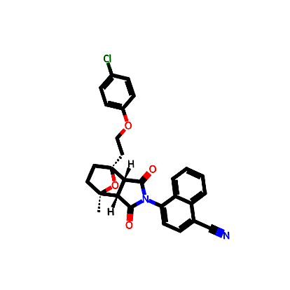 C[C@]12CC[C@](CCOc3ccc(Cl)cc3)(O1)[C@@H]1C(=O)N(c3ccc(C#N)c4ccccc34)C(=O)[C@@H]12